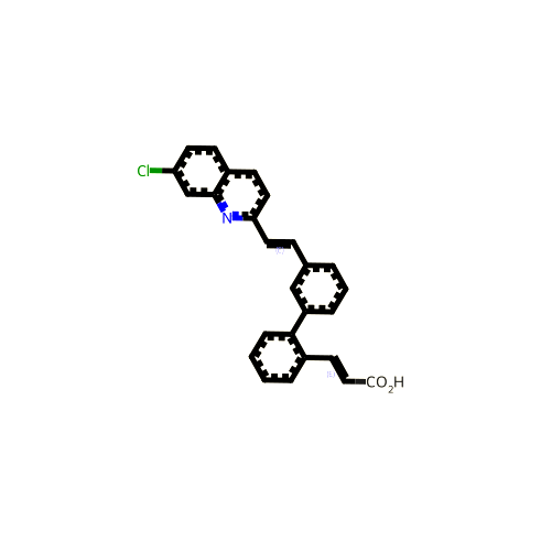 O=C(O)/C=C/c1ccccc1-c1cccc(/C=C/c2ccc3ccc(Cl)cc3n2)c1